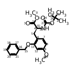 COC(=O)[C@H](Cc1ccc(OC)cc1OCc1ccccc1)NC(=O)OC(C)(C)C